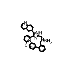 BN(Cc1nc(-c2cccc(C)n2)c(-c2ccc3ncccc3c2)[nH]1)Cc1ccccc1-c1ccccc1